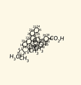 CC1(C)C=CC2=C(C1)CC(C)(C)c1c2ccc2cc(-c3ccc4ccccc4c3C(=O)C=Cc3ccc(C(=O)O)cc3)cc(CC(C)(C)c3ccc(F)cc3)c12